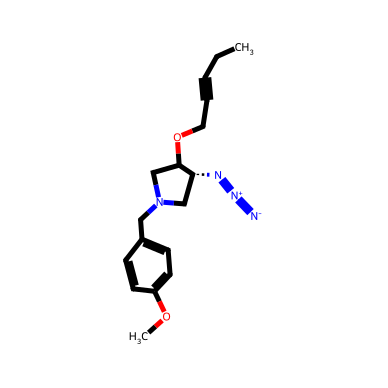 CCC#CCOC1CN(Cc2ccc(OC)cc2)C[C@H]1N=[N+]=[N-]